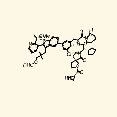 CCn1c(-c2cccnc2[C@H](C)OC)c(CC(C)(C)COC=O)c2cc(-c3cc(O)cc(C[C@H](NC(=O)[C@H](C4CCCC4)N4CC[C@]5(CCN(C(=O)[C@H]6CN6)C5)C4=O)C(=O)N4CCCCN4)c3)ccc21